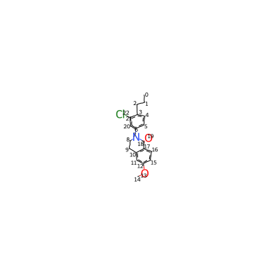 CCCc1ccc(N2CCc3cc(OC)ccc3C2=O)cc1Cl